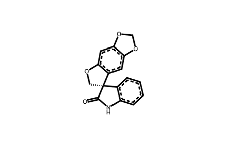 O=C1Nc2ccccc2[C@@]12COc1cc3c(cc12)OCO3